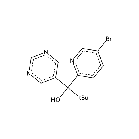 CC(C)(C)C(O)(c1cncnc1)c1ccc(Br)cn1